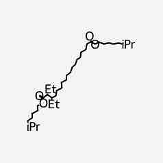 CCC(CCCCCCCCCCCCCCC(=O)OCCCCCC(C)C)C(CC)C(=O)OCCCCCC(C)C